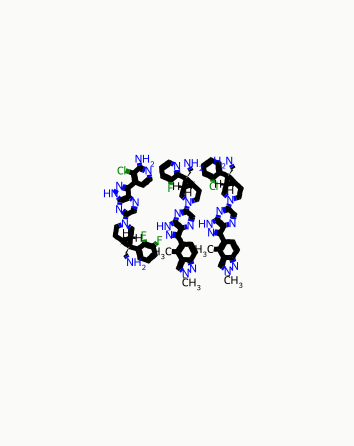 Cc1c(-c2n[nH]c3nc(N4CC[C@@H]5[C@H](C4)[C@@]5(CN)c4ccccc4Cl)cnc23)ccc2nn(C)cc12.Cc1c(-c2n[nH]c3nc(N4CC[C@@H]5[C@H](C4)[C@@]5(CN)c4ncccc4F)cnc23)ccc2nn(C)cc12.NC[C@]1(c2cccc(F)c2F)[C@@H]2CCN(c3cnc4c(-c5ccnc(N)c5Cl)n[nH]c4n3)C[C@@H]21